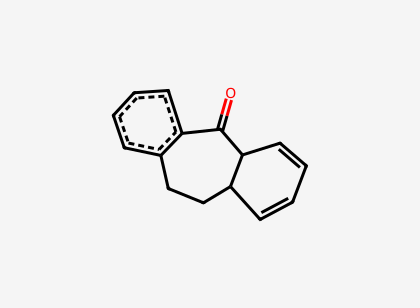 O=C1c2ccccc2CCC2C=CC=CC12